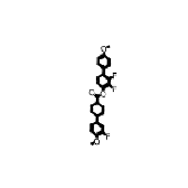 COc1ccc(-c2ccc(OC(=O)C3CCC(c4ccc(OC)c(F)c4)CC3)c(F)c2F)cc1